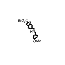 CCOC(=O)c1cc2ccc(CNCc3ccc(OC)cc3)cc2s1